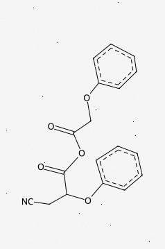 N#CCC(Oc1ccccc1)C(=O)OC(=O)COc1ccccc1